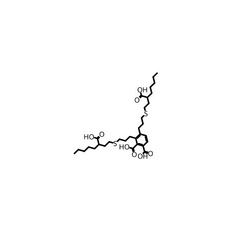 CCCCCC(CCSCCCc1ccc(C(=O)O)c(C(=O)O)c1CCCSCCC(CCCCC)C(=O)O)C(=O)O